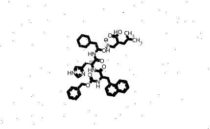 CC(C)CC(C[PH](=O)OC(CC1CCCCC1)NC(=O)[C@H](Cc1c[nH]cn1)NC(=O)C(Cc1cccc2ccccc12)NC(=O)OCc1ccccc1)C(=O)O